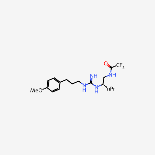 CCC[C@H](CNC(=O)C(F)(F)F)NC(=N)NCCCc1ccc(OC)cc1